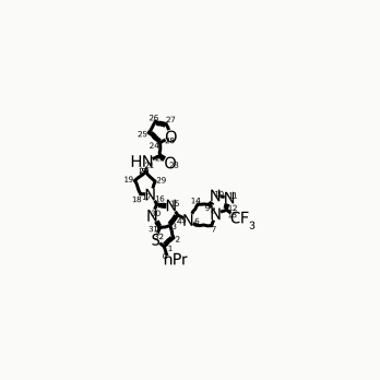 CCCc1cc2c(N3CCn4c(nnc4C(F)(F)F)C3)nc(N3CC[C@H](NC(=O)c4ccco4)C3)nc2s1